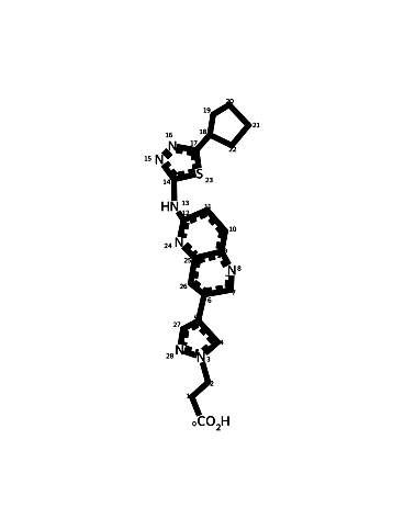 O=C(O)CCn1cc(-c2cnc3ccc(Nc4nnc(C5CCCC5)s4)nc3c2)cn1